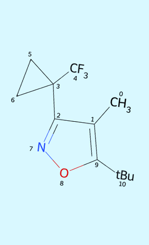 Cc1c(C2(C(F)(F)F)CC2)noc1C(C)(C)C